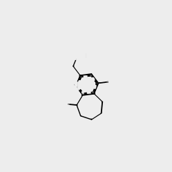 CCc1cc(CO)nc2c1CCCCC2O